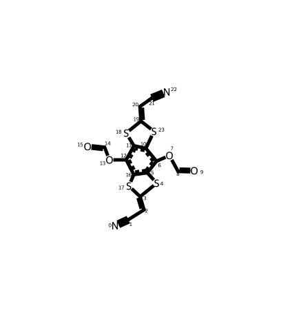 N#CC=C1Sc2c(OC=O)c3c(c(OC=O)c2S1)SC(=CC#N)S3